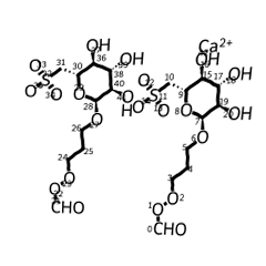 O=COOCCCO[C@H]1O[C@H](CS(=O)(=O)[O-])[C@@H](O)[C@H](O)[C@H]1O.O=COOCCCO[C@H]1O[C@H](CS(=O)(=O)[O-])[C@@H](O)[C@H](O)[C@H]1O.[Ca+2]